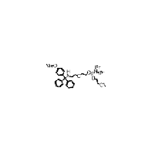 COc1ccc(C(NCCOCCOP(OCCC#N)N(C(C)C)C(C)C)(c2ccccc2)c2ccccc2)cc1